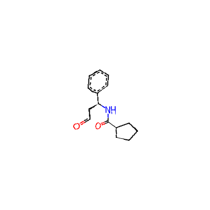 O=CC[C@H](NC(=O)C1CCCC1)c1ccccc1